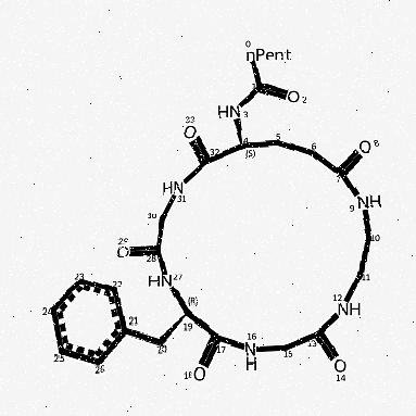 CCCCCC(=O)N[C@H]1CCC(=O)NCCNC(=O)CNC(=O)[C@@H](Cc2ccccc2)NC(=O)CNC1=O